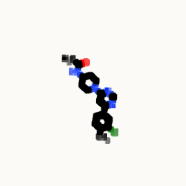 CC(=O)NC1CCN(c2cc(-c3ccc(C)c(Cl)c3)ncn2)CC1